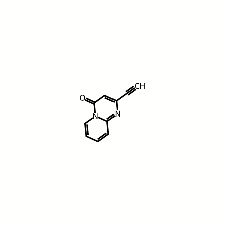 C#Cc1cc(=O)n2ccccc2n1